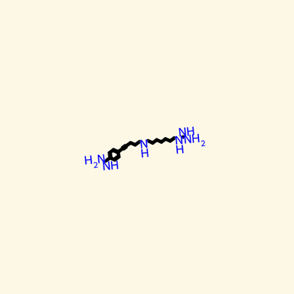 N=C(N)NCCCCCCCNCCCC#Cc1ccc(C(=N)N)cc1